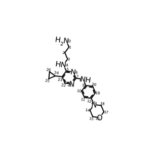 NCCCNc1nc(Nc2ccc(N3CCOCC3)cc2)ncc1C1CC1